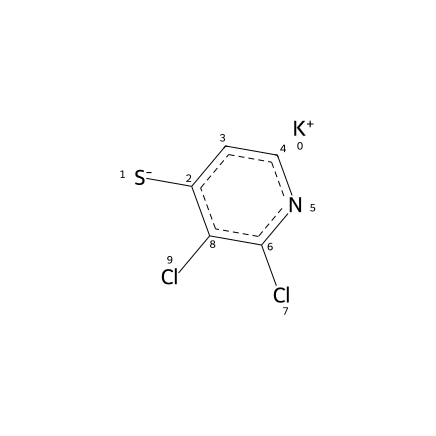 [K+].[S-]c1ccnc(Cl)c1Cl